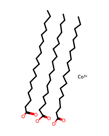 CCCCCCCCCCCCCCCCCC(=O)[O-].CCCCCCCCCCCCCCCCCC(=O)[O-].CCCCCCCCCCCCCCCCCC(=O)[O-].[Co+3]